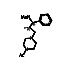 CN[C@@H](c1ccccc1)[C@@H](C)CN1CCN(C(C)=O)CC1